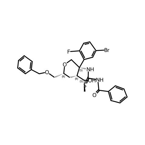 C[C@H](O)[C@@H]1C[C@H](COCc2ccccc2)OC[C@@]1(NC(=S)NC(=O)c1ccccc1)c1cc(Br)ccc1F